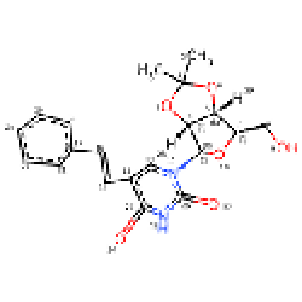 CC1(C)O[C@@H]2[C@H](O1)[C@@H](CO)O[C@H]2n1cc(C=Cc2ccccc2)c(=O)[nH]c1=O